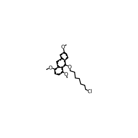 COc1ccc2c(OCCCCCCCCl)c3c(OC)ccc(OC)c3cc2c1